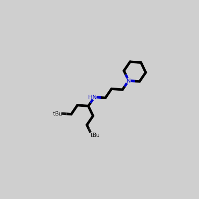 CC(C)(C)CCC(CCC(C)(C)C)NCCCN1CCCCC1